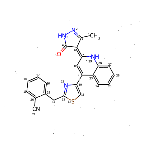 CC1=NNC(=O)C1=C1C=C(c2csc(Cc3ccccc3C#N)n2)c2ccccc2N1